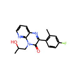 Cc1cc(F)ccc1-c1nc2cccnc2n(CC(C)O)c1=O